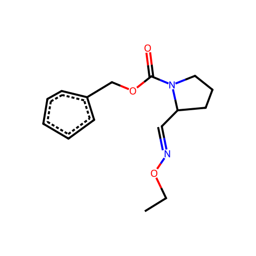 CCON=CC1CCCN1C(=O)OCc1ccccc1